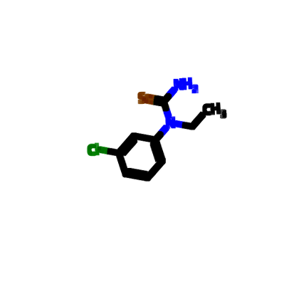 CCN(C(N)=S)c1cccc(Cl)c1